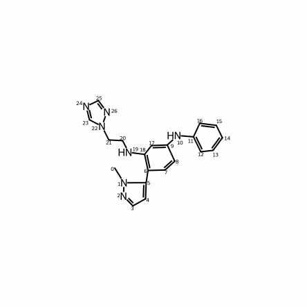 Cn1nccc1-c1ccc(Nc2ccccc2)cc1NCCn1cncn1